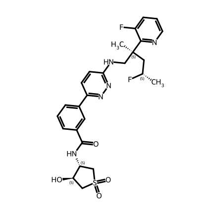 C[C@H](F)C[C@@](C)(CNc1ccc(-c2cccc(C(=O)N[C@@H]3CS(=O)(=O)C[C@H]3O)c2)nn1)c1ncccc1F